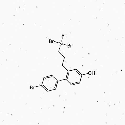 Oc1ccc(-c2ccc(Br)cc2)c(CCC[Si](Br)(Br)Br)c1